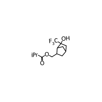 CC(C)C(=O)OCC1CC2CC1C(O)(C(F)(F)F)C2